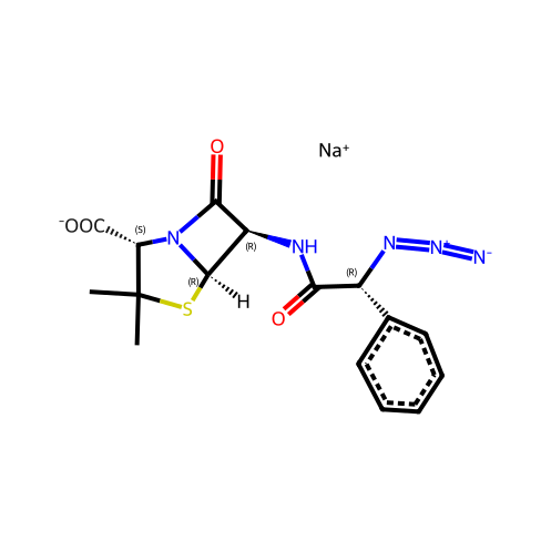 CC1(C)S[C@@H]2[C@H](NC(=O)[C@H](N=[N+]=[N-])c3ccccc3)C(=O)N2[C@H]1C(=O)[O-].[Na+]